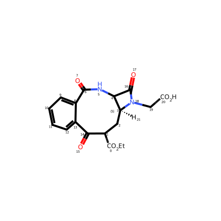 CCOC(=O)C1C[C@H]2C(NC(=O)c3ccccc3C1=O)C(=O)N2CC(=O)O